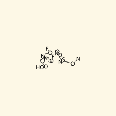 N#Cc1cccc(C#Cc2cnc(COc3cccc(-c4cc(F)c(Cc5nc6ccc(C(=O)O)cc6n5CC5CCO5)cc4F)n3)s2)c1